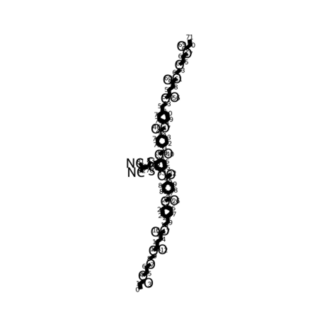 C=CC(=O)OCCOCCOC(=O)CCC(=O)OCCc1ccc(OC(=O)[C@H]2CC[C@H](C(=O)Oc3ccc(OC(=O)[C@H]4CC[C@H](C(=O)Oc5ccc(CCOC(=O)CCC(=O)OCCOCCOC(=O)C=C)cc5)CC4)c4c3SC(=C(C#N)C#N)S4)CC2)cc1